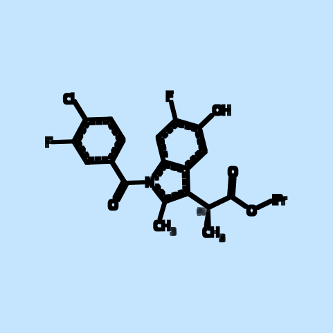 Cc1c([C@H](C)C(=O)OC(C)C)c2cc(O)c(F)cc2n1C(=O)c1ccc(Cl)c(F)c1